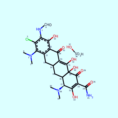 CN(C)c1c(Cl)c(NC=O)c(O)c2c1CC1CC3[C@H](N(C)C)C(O)=C(C(N)=O)C(=O)C3(O)C(O)=C1C2=O.O=S(=O)(O)O